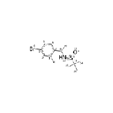 Cc1cc(Br)ccc1C(C)N[S@+]([O-])C(C)(C)C